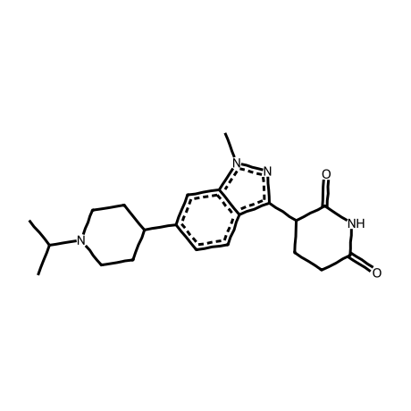 CC(C)N1CCC(c2ccc3c(C4CCC(=O)NC4=O)nn(C)c3c2)CC1